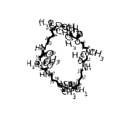 C=C(C)C(=O)OCCC[N+](C)(C)CC(=O)NCCCC[Si](C)(C)O[Si](C)(C)CCCCNC(=O)C[N+](C)(C)CC(=O)NCCCC[Si](C)(C)OC